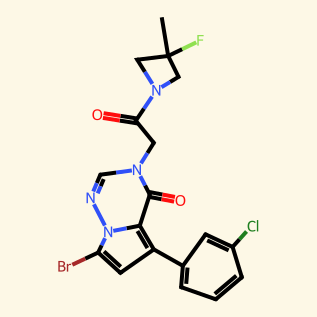 CC1(F)CN(C(=O)Cn2cnn3c(Br)cc(-c4cccc(Cl)c4)c3c2=O)C1